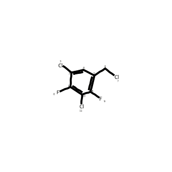 Fc1c(Cl)cc(CCl)c(F)c1Cl